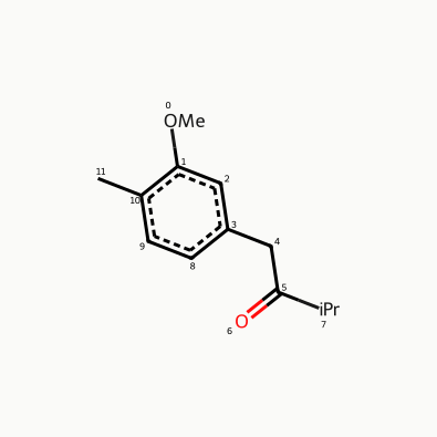 COc1cc(CC(=O)C(C)C)ccc1C